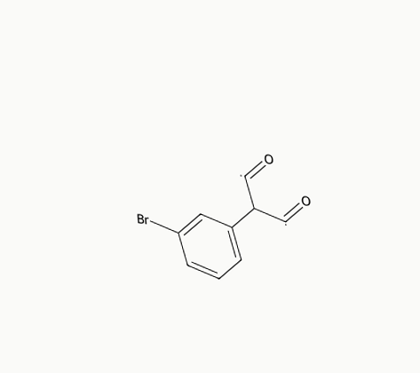 O=[C]C([C]=O)c1cccc(Br)c1